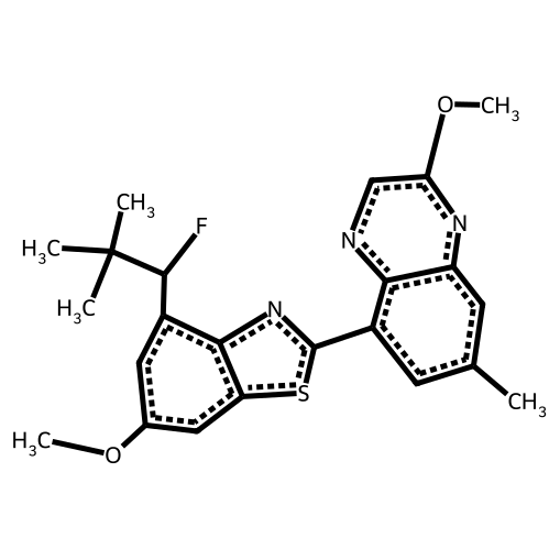 COc1cc(C(F)C(C)(C)C)c2nc(-c3cc(C)cc4nc(OC)cnc34)sc2c1